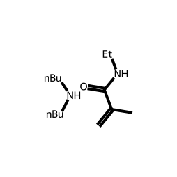 C=C(C)C(=O)NCC.CCCCNCCCC